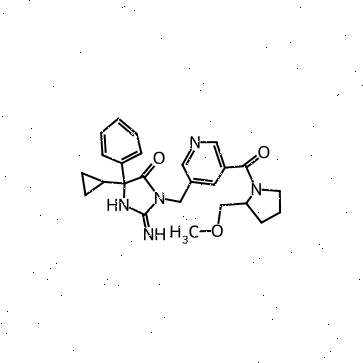 COCC1CCCN1C(=O)c1cncc(CN2C(=N)NC(c3ccccc3)(C3CC3)C2=O)c1